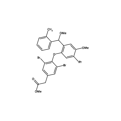 COC(=O)Cc1cc(Br)c(Oc2cc(C(C)C)c(OC)cc2C(OC)c2ccccc2C)c(Br)c1